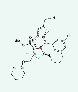 CC(C)(C)OC(=O)N1C[C@@H](N2CCCc3cc(Cl)cc(-c4ccnc5cc(CO)sc45)c32)C[C@@]1(C)CO[C@H]1CCCCO1